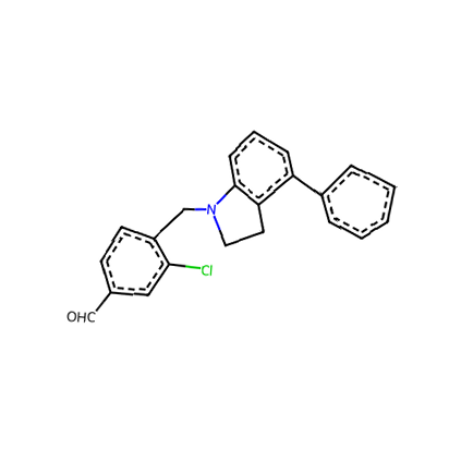 O=Cc1ccc(CN2CCc3c(-c4ccccc4)cccc32)c(Cl)c1